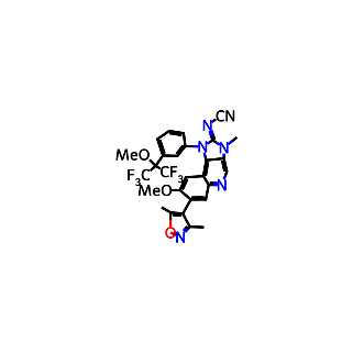 COc1cc2c(cc1-c1c(C)noc1C)ncc1c2n(-c2cccc(C(OC)(C(F)(F)F)C(F)(F)F)c2)c(=NC#N)n1C